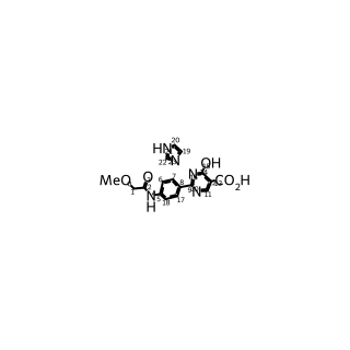 COCC(=O)Nc1ccc(-c2ncc(C(=O)O)c(O)n2)cc1.c1c[nH]cn1